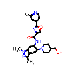 Cc1cc(-c2nc(C(=O)Nc3cc4c(cc3N3CCC(CO)CC3)c(C)nn4C)co2)ccn1